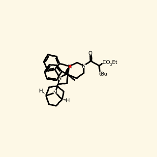 CCOC(=O)C(C(=O)N1CCC(CCN2[C@@H]3CC[C@H]2C[C@@H](n2c(C)nc4ccccc42)C3)(c2ccccc2)CC1)C(C)(C)C